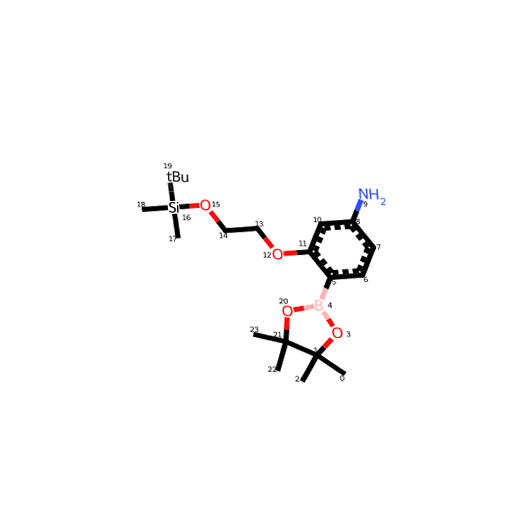 CC1(C)OB(c2ccc(N)cc2OCCO[Si](C)(C)C(C)(C)C)OC1(C)C